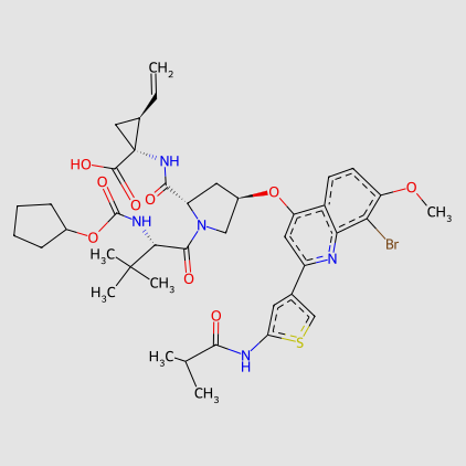 C=C[C@@H]1C[C@]1(NC(=O)[C@@H]1C[C@@H](Oc2cc(-c3csc(NC(=O)C(C)C)c3)nc3c(Br)c(OC)ccc23)CN1C(=O)[C@@H](NC(=O)OC1CCCC1)C(C)(C)C)C(=O)O